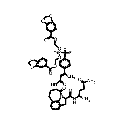 C/C(=C\C(=O)N[C@H]1CCc2cccc3c2N(C1=O)C(C(=O)NC(C)CCC(N)=O)C3)c1ccc(C(F)(F)P(=O)(OCOC(=O)c2ccc3c(c2)OCO3)OCOC(=O)c2ccc3c(c2)OCO3)cc1